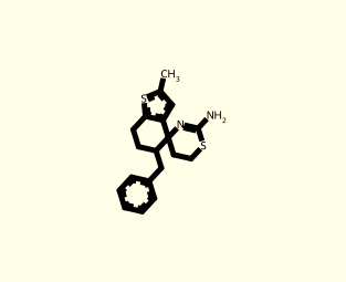 Cc1cc2c(s1)CCC(Cc1ccccc1)C21CCSC(N)=N1